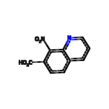 O=C(O)c1ccc2cccnc2c1[N+](=O)[O-]